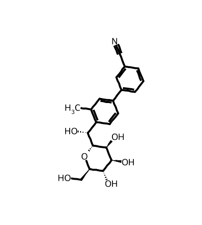 Cc1cc(-c2cccc(C#N)c2)ccc1[C@@H](O)[C@H]1O[C@H](CO)[C@@H](O)[C@H](O)[C@@H]1O